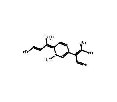 CCC/C=C/C(C(=O)O)=C1/C=NC(/C(C=N)=C(/CCC)CCCC)=CN1C